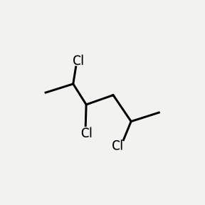 CC(Cl)CC(Cl)C(C)Cl